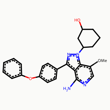 COc1cnc(N)c2c(-c3ccc(Oc4ccccc4)cc3)nn(C3CCCC(O)C3)c12